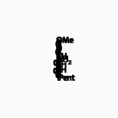 CCCC(C)COCCC(=O)NCCCNC(=O)CC/C(N)=C/NCCOCCOCCOCCOC